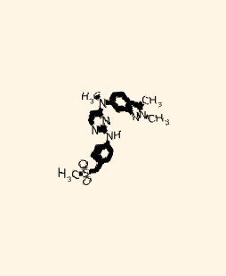 Cc1c2ccc(N(C)c3ccnc(Nc4ccc(CS(C)(=O)=O)cc4)n3)cc2nn1C